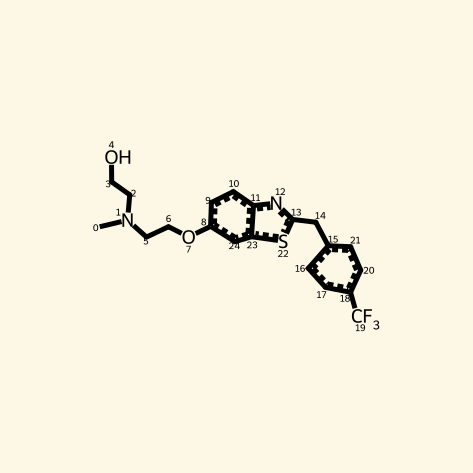 CN(CCO)CCOc1ccc2nc(Cc3ccc(C(F)(F)F)cc3)sc2c1